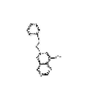 Oc1cc(CCc2ccccc2)cc2cncnc12